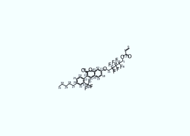 C=CC(=O)OCC(F)(F)C(F)(F)C(F)(F)COc1ccc2cc(-c3ccc(CCCCC)cc3C(F)(F)F)c(=O)oc2c1